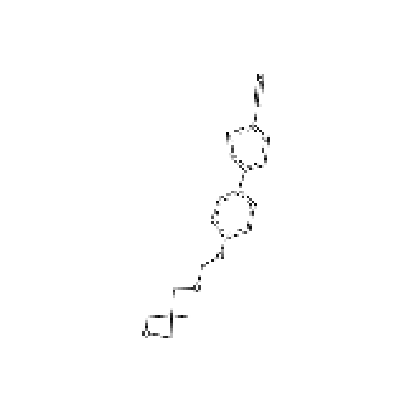 CC1(COCOc2ccc(-c3ccc(C#N)cc3)cc2)COC1